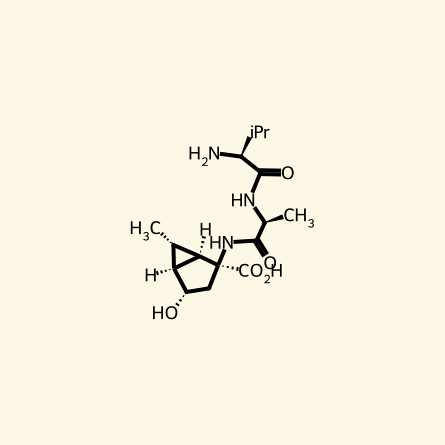 CC(C)[C@H](N)C(=O)N[C@@H](C)C(=O)N[C@@]1(C(=O)O)C[C@H](O)[C@H]2[C@H](C)[C@H]21